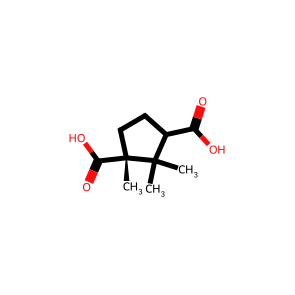 CC1(C)C(C(=O)O)CC[C@@]1(C)C(=O)O